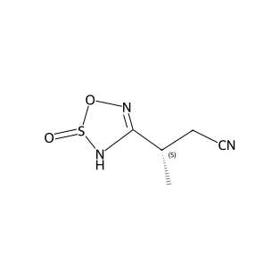 C[C@@H](CC#N)C1=NOS(=O)N1